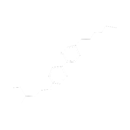 CCCCCCc1ccc(-c2ccc(OCCC(C)CC)cc2)nc1